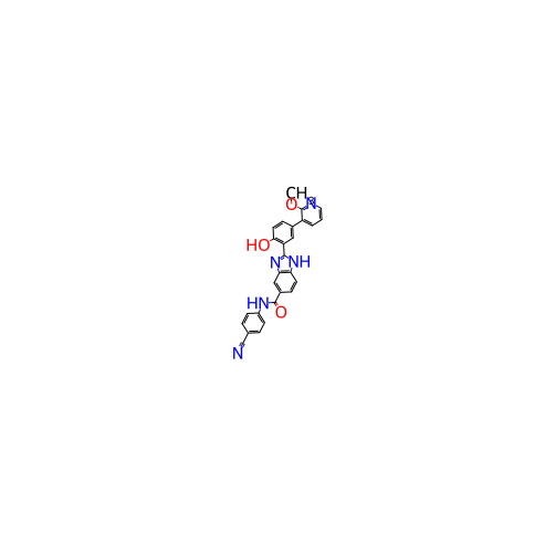 COc1ncccc1-c1ccc(O)c(-c2nc3cc(C(=O)Nc4ccc(C#N)cc4)ccc3[nH]2)c1